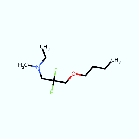 CCCCOCC(F)(F)CN(C)CC